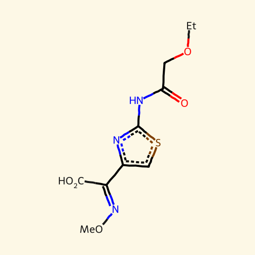 CCOCC(=O)Nc1nc(C(=NOC)C(=O)O)cs1